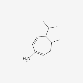 CC(C)C1C=CC(N)=CCC1C